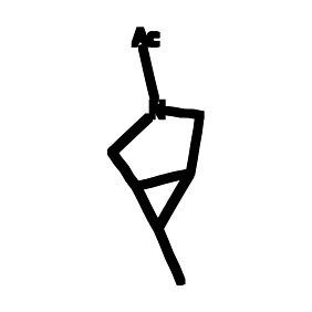 CC(=O)N1CC2C(C)C2C1